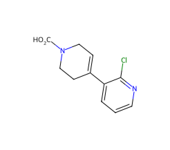 O=C(O)N1CC=C(c2cccnc2Cl)CC1